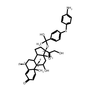 CC(O)(O[C@]1(C(=O)CO)CCC2C3C[C@H](F)C4=CC(=O)C=CC4(C)[C@@]3(F)C(O)CC21C)c1ccc(Sc2ccc(N)cc2)cc1